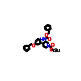 CC(C)(C)OC(=O)N1CC[C@H](c2cccc(OCc3ccccc3)c2)[C@@H](NC(=O)OCc2ccccc2)C1